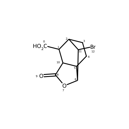 O=C(O)C1C2CCC3C(OC(=O)C31)C2Br